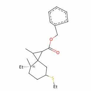 CCSC1CC[C@](C)(CC)C2(C1)C(C)C2C(=O)OCc1ccccc1